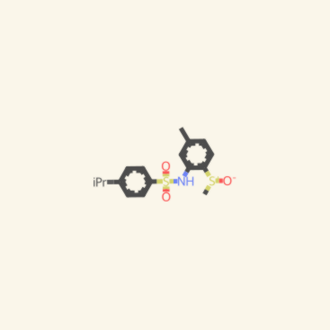 Cc1ccc([S+](C)[O-])c(NS(=O)(=O)c2ccc(C(C)C)cc2)c1